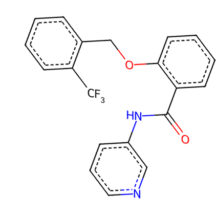 O=C(Nc1cccnc1)c1ccccc1OCc1ccccc1C(F)(F)F